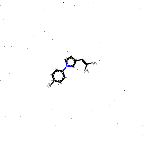 CC(C)=Cc1ccn(-c2ccc([N+](=O)[O-])cc2)c1